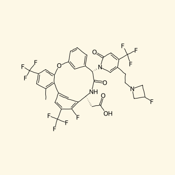 Cc1cc(C(F)(F)F)cc2c1-c1cc(c(F)c(C(F)(F)F)c1)[C@@H](CC(=O)O)NC(=O)[C@@H](n1cc(CCN3CC(F)C3)c(C(F)(F)F)cc1=O)c1cccc(c1)O2